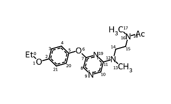 CCOc1ccc(Oc2cncc(N(C)CCN(C)C(C)=O)n2)cc1